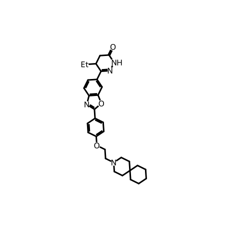 CCC1CC(=O)NN=C1c1ccc2nc(-c3ccc(OCCN4CCC5(CCCCC5)CC4)cc3)oc2c1